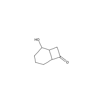 O=C1CC2C(O)CCCC12